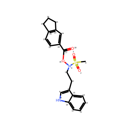 CS(=O)(=O)N(CCc1c[nH]c2ccccc12)OC(=O)c1ccc2c(c1)CCC2